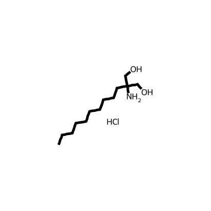 CCCCCCCCCCC(N)(CO)CO.Cl